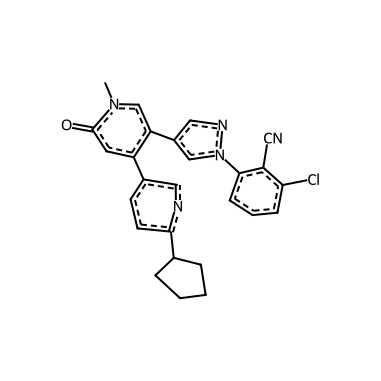 Cn1cc(-c2cnn(-c3cccc(Cl)c3C#N)c2)c(-c2ccc(C3CCCC3)nc2)cc1=O